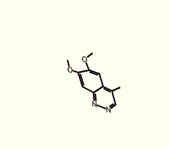 COc1cc2nncc(C)c2cc1OC